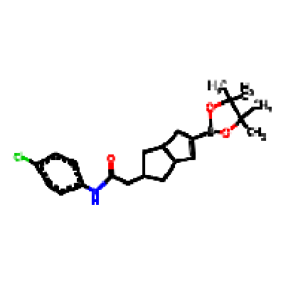 CC1(C)OB(C2=CC3CC(CC(=O)Nc4ccc(Cl)cc4)CC3C2)OC1(C)C